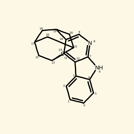 c1ccc2c(c1)[nH]c1ncc3c(c12)C1CC2CC(CC3C2)C1